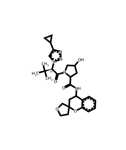 CC(C)(C)[C@H](C(=O)N1CC(O)CC1C(=O)NC1CC2(CCOC2)Oc2ccccc21)n1cc(C2CC2)nn1